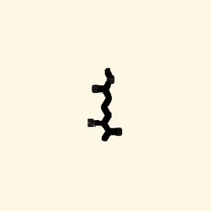 COC(=O)CCCC(Br)C(C)=O